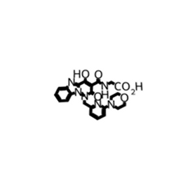 O=C(O)CNC(=O)c1c(O)c2nc3ccccc3n2n(Cc2cccc(N3CCOCC3)n2)c1=O